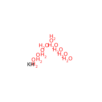 O.O.O.O.O.O.O.O.O.[KH]